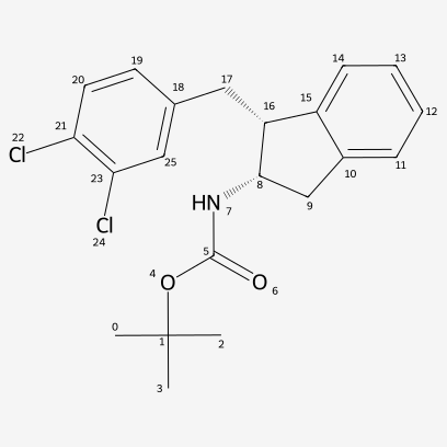 CC(C)(C)OC(=O)N[C@H]1Cc2ccccc2[C@H]1Cc1ccc(Cl)c(Cl)c1